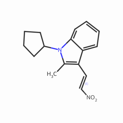 Cc1c(/C=C/[N+](=O)[O-])c2ccccc2n1C1CCCC1